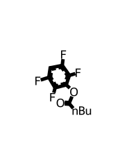 CCCCC(=O)Oc1c(F)c(F)cc(F)c1F